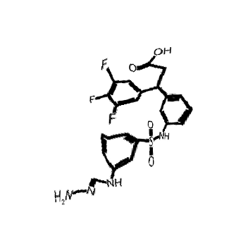 NN=CNc1cccc(S(=O)(=O)Nc2cccc(C(CC(=O)O)c3cc(F)c(F)c(F)c3)c2)c1